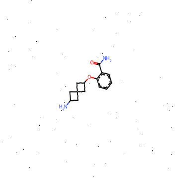 NC(=O)c1ccccc1OC1CC2(CC(N)C2)C1